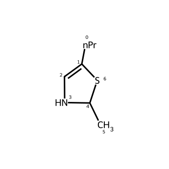 CCCC1=CNC(C)S1